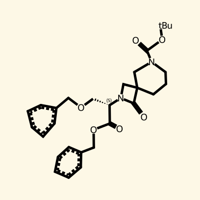 CC(C)(C)OC(=O)N1CCCC2(C1)CN([C@@H](COCc1ccccc1)C(=O)OCc1ccccc1)C2=O